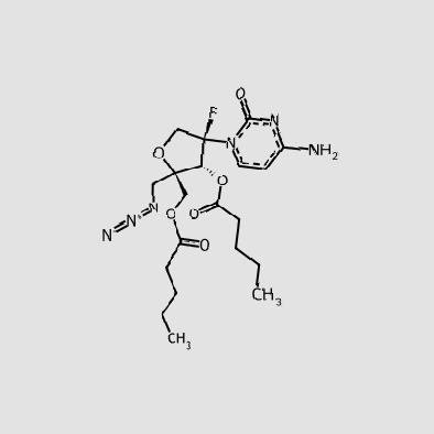 CCCCC(=O)OC[C@@]1(CN=[N+]=[N-])OC[C@](F)(n2ccc(N)nc2=O)[C@@H]1OC(=O)CCCC